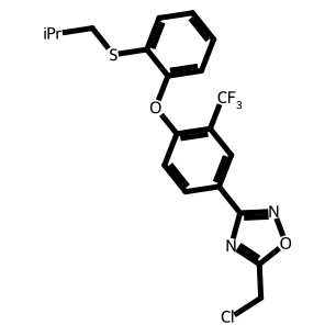 CC(C)CSc1ccccc1Oc1ccc(-c2noc(CCl)n2)cc1C(F)(F)F